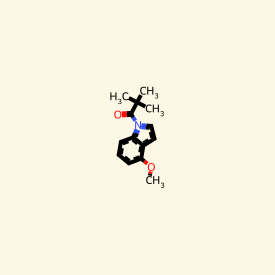 COc1cccc2c1ccn2C(=O)C(C)(C)C